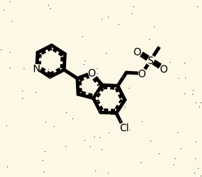 CS(=O)(=O)OCc1cc(Cl)cc2cc(-c3cccnc3)oc12